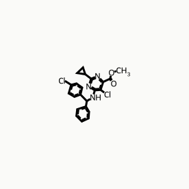 COC(=O)c1nc(C2CC2)nc(NC(c2ccccc2)c2ccc(Cl)cc2)c1Cl